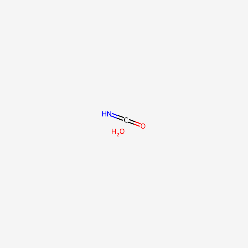 N=C=O.O